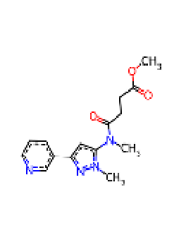 COC(=O)CCC(=O)N(C)c1cc(-c2cccnc2)nn1C